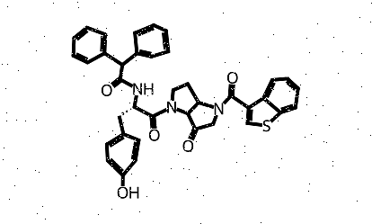 O=C(N[C@@H](Cc1ccc(O)cc1)C(=O)N1CCC2C1C(=O)CN2C(=O)c1csc2ccccc12)C(c1ccccc1)c1ccccc1